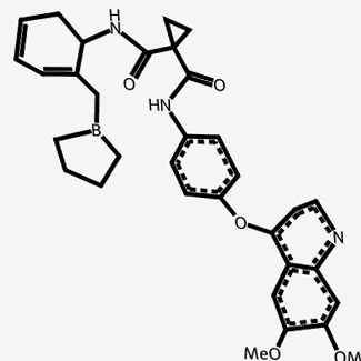 COc1cc2nccc(Oc3ccc(NC(=O)C4(C(=O)NC5CC=CC=C5CB5CCCC5)CC4)cc3)c2cc1OC